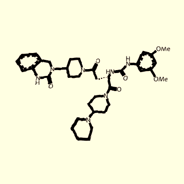 COc1cc(NC(=O)N[C@@H](CC(=O)N2CCC(N3Cc4ccccc4NC3=O)CC2)C(=O)N2CCC(N3CCCCC3)CC2)cc(OC)c1